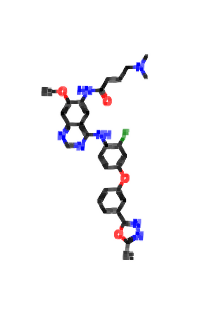 CCOc1cc2ncnc(Nc3ccc(Oc4cccc(-c5nnc(CC)o5)c4)cc3F)c2cc1NC(=O)/C=C/CN(C)C